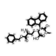 COC(=O)N(C1c2ccccc2-c2ccccc21)[C@@H](CCC(N)C(=O)OCc1ccccc1)C(=O)O